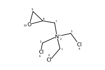 ClC[N+](CCl)(CCl)CC1CO1